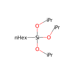 CCCCCC[Si](OC(C)C)(OC(C)C)OC(C)C